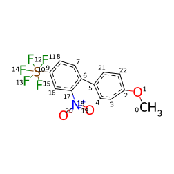 COc1ccc(-c2ccc(S(F)(F)(F)(F)F)cc2[N+](=O)[O-])cc1